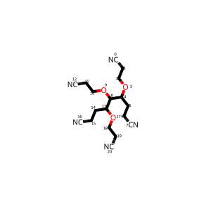 N#CCCOC(CCC#N)C(OCCC#N)C(CCC#N)OCCC#N